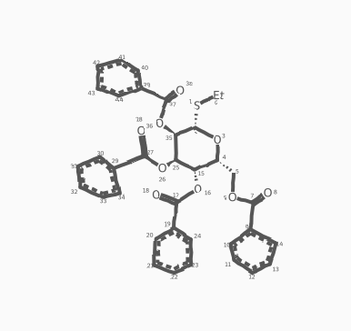 CCS[C@@H]1O[C@H](COC(=O)c2ccccc2)[C@H](OC(=O)c2ccccc2)[C@@H](OC(=O)c2ccccc2)[C@H]1OC(=O)c1ccccc1